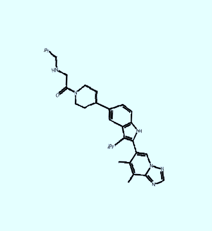 Cc1c(-c2[nH]c3ccc(C4CCN(C(=O)CNCC(C)C)CC4)cc3c2C(C)C)cn2ncnc2c1C